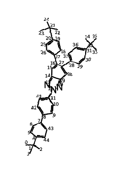 CC(C)(C)c1ccc(-c2ccc(-n3nc4cc(-c5ccc(C(C)(C)C)cc5)c(-c5ccc(C(C)(C)C)cc5)cc4n3)cc2)cc1